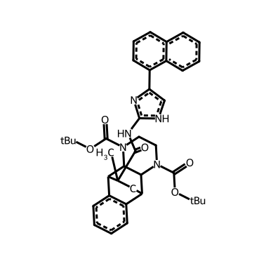 CC(C)(C)OC(=O)N1CCN(C(=O)OC(C)(C)C)C2C1C1CC(C)(C(=O)Nc3nc(-c4cccc5ccccc45)c[nH]3)C2c2ccccc21